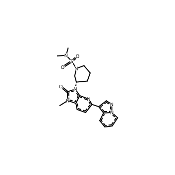 CN(C)S(=O)(=O)N1CCC[C@H](n2c(=O)n(C)c3ccc(-c4cnn5ccccc45)nc32)C1